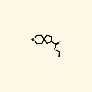 CCOC(=O)C1CCC2(CCNCC2)C1